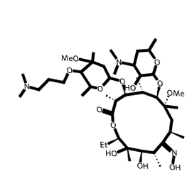 CC[C@H]1OC(=O)[C@H](C)[C@@H](OC2CC(C)(OC)C(OCCCN(C)C)C(C)O2)[C@H](C)[C@@H](OC2OC(C)CC(N(C)C)C2O)[C@](C)(OC)C[C@@H](C)C(=NO)[C@H](C)[C@@H](O)[C@]1(C)O